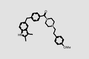 COc1ccc(CCN2CCN(C(=O)c3ccc(Cc4ccc5[nH]c(C)c(C)c5c4)cc3)CC2)cc1